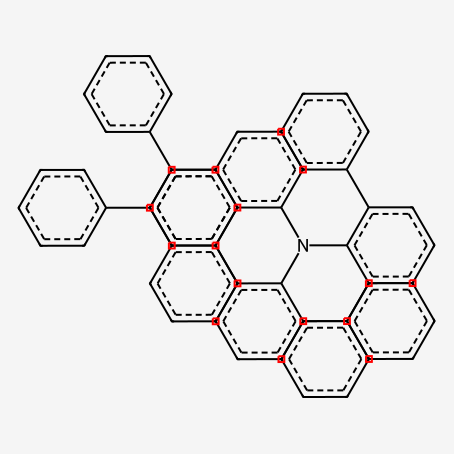 c1ccc(-c2cccc(-c3ccccc3)c2N(c2c(-c3ccccc3)cccc2-c2ccccc2)c2cccc3c(-c4ccccc4)c(-c4ccccc4)c4ccccc4c23)cc1